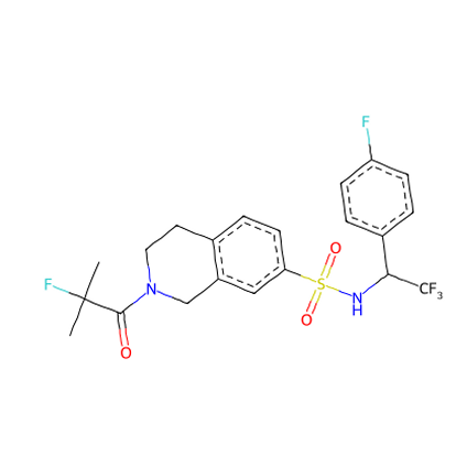 CC(C)(F)C(=O)N1CCc2ccc(S(=O)(=O)NC(c3ccc(F)cc3)C(F)(F)F)cc2C1